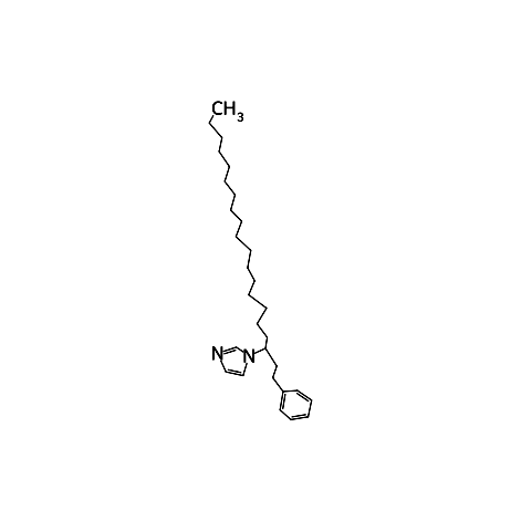 CCCCCCCCCCCCCCCCCC(CCc1ccccc1)n1ccnc1